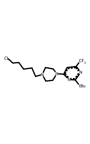 CC(C)(C)c1nc(N2CCN(CCCCCCl)CC2)cc(C(F)(F)F)n1